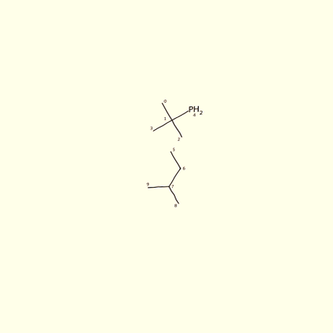 CC(C)(C)P.CCC(C)C